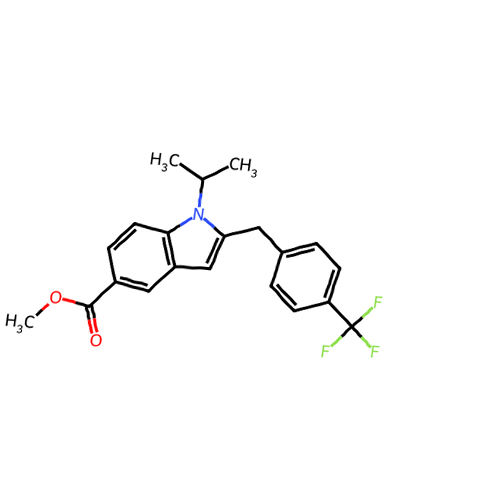 COC(=O)c1ccc2c(c1)cc(Cc1ccc(C(F)(F)F)cc1)n2C(C)C